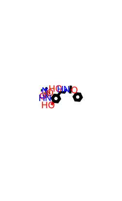 CN(C)S(=O)(=O)Nc1cc(C(O)CNC(C)(C)Oc2ccccc2)ccc1O